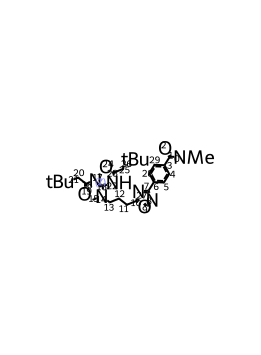 CNC(=O)c1ccc(-c2noc(CCCN(C)/C(=N\C(=O)CC(C)(C)C)NC(=O)CC(C)(C)C)n2)cc1